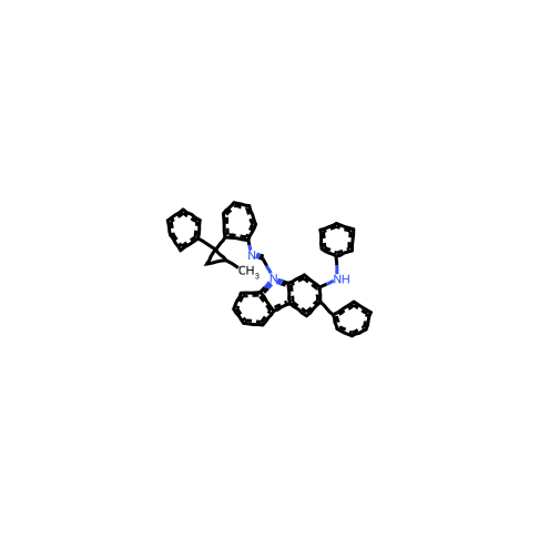 CC1CC1(c1ccccc1)c1ccccc1/N=C/n1c2ccccc2c2cc(-c3ccccc3)c(Nc3ccccc3)cc21